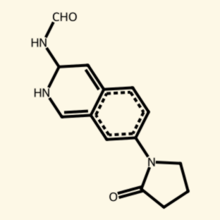 O=CNC1C=c2ccc(N3CCCC3=O)cc2=CN1